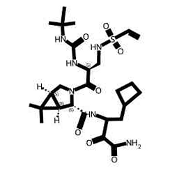 C=CS(=O)(=O)NC[C@H](NC(=O)NC(C)(C)C)C(=O)N1C[C@H]2[C@@H]([C@H]1C(=O)NC(CC1CCC1)C(=O)C(N)=O)C2(C)C